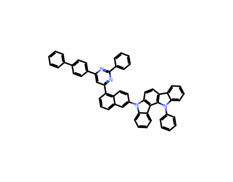 c1ccc(-c2ccc(-c3cc(-c4cccc5cc(-n6c7ccccc7c7c6ccc6c8ccccc8n(-c8ccccc8)c67)ccc45)nc(-c4ccccc4)n3)cc2)cc1